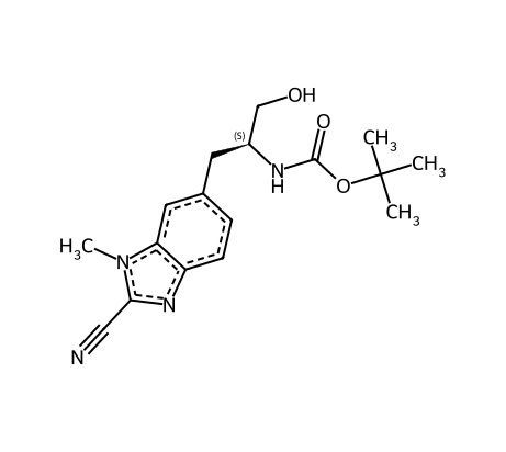 Cn1c(C#N)nc2ccc(C[C@@H](CO)NC(=O)OC(C)(C)C)cc21